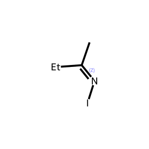 CC/C(C)=N\I